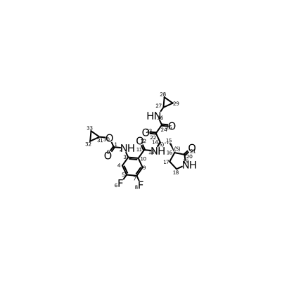 O=C(Nc1cc(F)c(F)cc1C(=O)N[C@@H](C[C@@H]1CCNC1=O)C(=O)C(=O)NC1CC1)OC1CC1